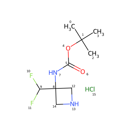 CC(C)(C)OC(=O)NC1(C(F)F)CNC1.Cl